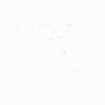 CCOC(=O)c1csc(-n2nc(-c3ccccc3)cc2N)n1